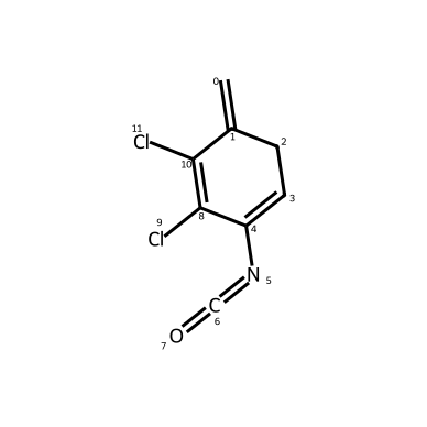 C=C1CC=C(N=C=O)C(Cl)=C1Cl